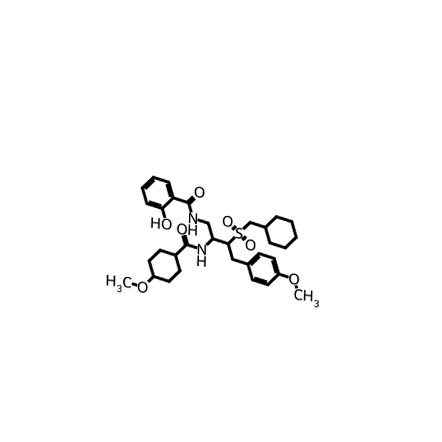 COc1ccc(CC(C(CNC(=O)c2ccccc2O)NC(=O)C2CCC(OC)CC2)S(=O)(=O)CC2CCCCC2)cc1